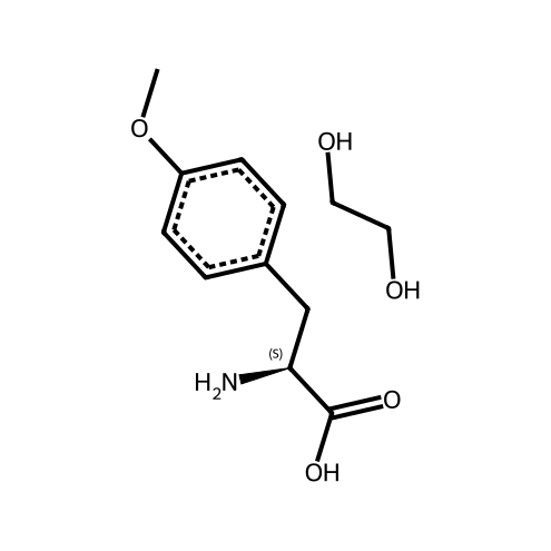 COc1ccc(C[C@H](N)C(=O)O)cc1.OCCO